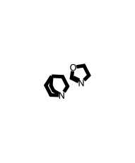 C1=NCCO1.C1CN2CCC1CC2